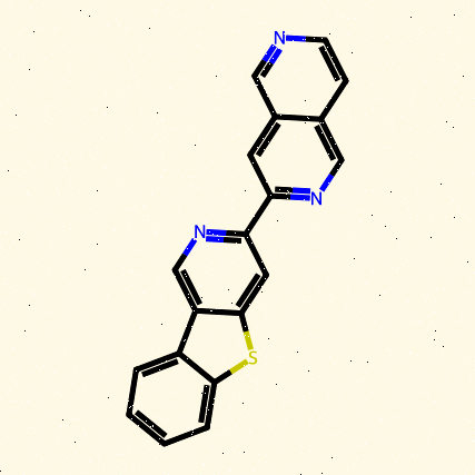 c1ccc2c(c1)sc1cc(-c3cc4cnccc4cn3)ncc12